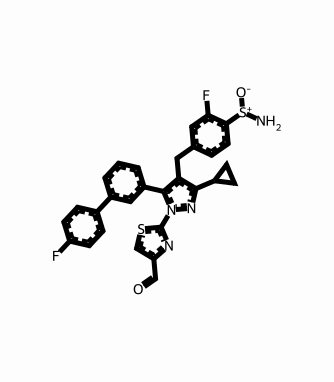 N[S+]([O-])c1ccc(Cc2c(C3CC3)nn(-c3nc(C=O)cs3)c2-c2cccc(-c3ccc(F)cc3)c2)cc1F